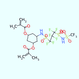 C=C(C)C(=O)OC1CC(NS(=O)(=O)C(F)(F)C(F)(F)C(F)(F)S(=O)(=O)NS(=O)(=O)C(F)(F)F)CC(OC(=O)C(=C)C)C1